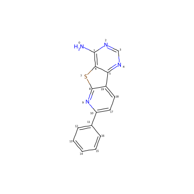 Nc1ncnc2c1sc1nc(-c3ccccc3)ccc12